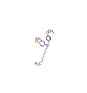 CCCCCCCCN(Cc1c#cc(OC)cc1)C1=CCC(OC)C=C1